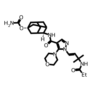 CCC(=O)NC(C)(C)/C=C/n1ncc(C(=O)N[C@H]2C3CC4CC2C[C@](OC(N)=O)(C4)C3)c1N1CCOCC1